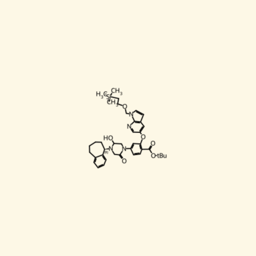 CC(C)(C)OC(=O)c1ccc(N2CC(O)N([C@@H]3CCCCc4ccccc43)CC2=O)cc1Oc1cnc2c(ccn2COCC[Si](C)(C)C)c1